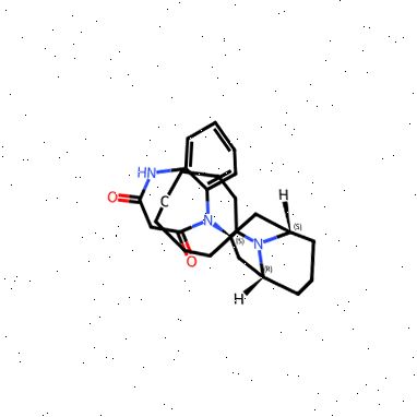 O=C1CC(=O)N([C@@H]2C[C@H]3CCC[C@@H](C2)N3C2CCCCCCC2)c2ccccc2N1